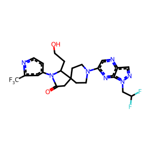 O=C1CC2(CCN(c3cnc4cnn(CC(F)F)c4n3)CC2)C(CCO)N1c1ccnc(C(F)(F)F)c1